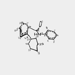 O=C(Nc1ccccc1)c1cnccc1C1CCCCC1